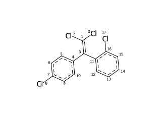 ClC(Cl)=C(c1ccc(Cl)cc1)c1ccccc1Cl